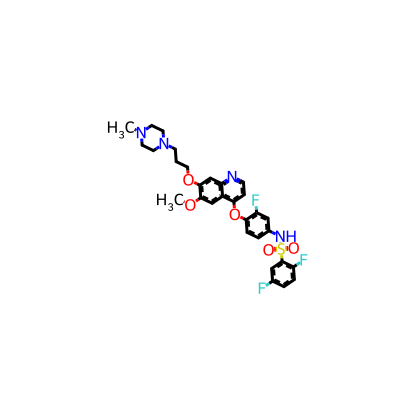 COc1cc2c(Oc3ccc(NS(=O)(=O)c4cc(F)ccc4F)cc3F)ccnc2cc1OCCCN1CCN(C)CC1